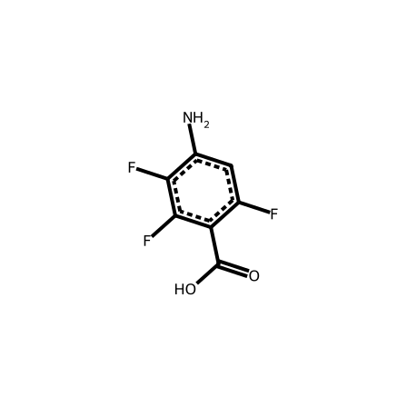 Nc1cc(F)c(C(=O)O)c(F)c1F